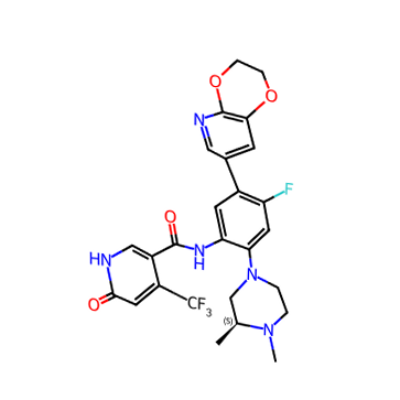 C[C@H]1CN(c2cc(F)c(-c3cnc4c(c3)OCCO4)cc2NC(=O)c2c[nH]c(=O)cc2C(F)(F)F)CCN1C